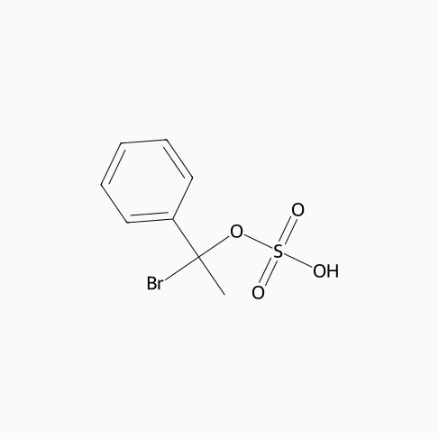 CC(Br)(OS(=O)(=O)O)c1ccccc1